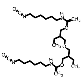 C=C(NCCCCCCN=C=O)OCC(CC)COCC(CC)COC(=C)NCCCCCCN=C=O